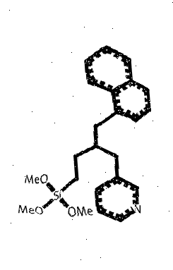 CO[Si](CCC(Cc1cccnc1)Cc1cccc2ccccc12)(OC)OC